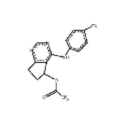 N#Cc1ccc(Nc2ncnc3c2C(OC(=O)C(F)(F)F)CC3)cc1